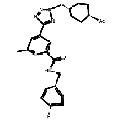 Cc1cc(-c2nnn(C[C@H]3CC[C@H](C(C)=O)CC3)n2)cc(C(=O)NCc2ccc(F)cc2)n1